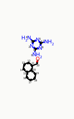 Nc1nc(N)nc(N)n1.O=Cc1cccc2ccccc12